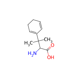 CC(C)(C1=CCCC=C1)C(N)C(=O)O